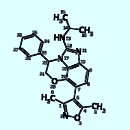 Cc1noc(C)c1-c1ccc2nc(NC(C)C)n3c2c1OCC3c1ccccc1